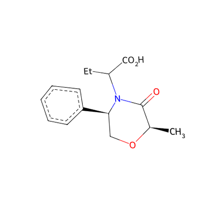 CCC(C(=O)O)N1C(=O)[C@@H](C)OC[C@H]1c1ccccc1